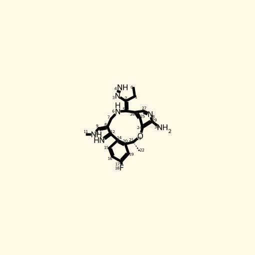 CC/C(N=N)=C1/NC/C(=C/NC)C(=N)c2ccc(F)cc2[C@@H](C)Oc2cc1cnc2N